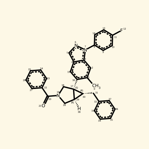 Cc1cc2c(cnn2-c2ccc(F)cc2)cc1[C@@]12CN(C(=O)c3ccccc3)C[C@@H]1[C@H]2Cc1ccccc1